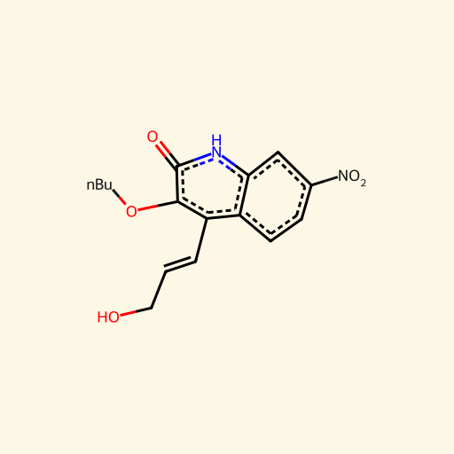 CCCCOc1c(C=CCO)c2ccc([N+](=O)[O-])cc2[nH]c1=O